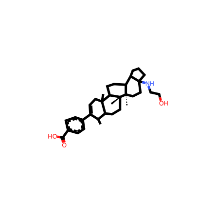 CC1C(c2ccc(C(=O)O)cc2)=CCC2(C)C1CC[C@]1(C)C2CCC2C3CCCC3(NCCO)CC[C@]21C